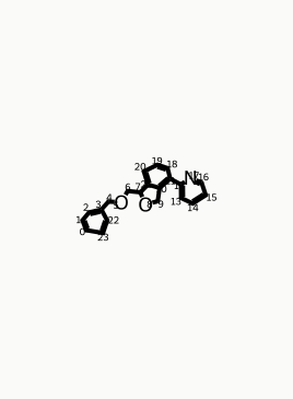 c1ccc(COCC2OCc3c(-c4ccccn4)cccc32)cc1